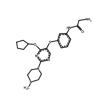 CN1CCN(c2ncc(Sc3cccc(NC(=O)CN)c3)c(OC3CCCC3)n2)CC1